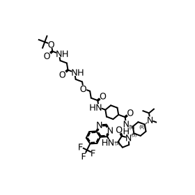 CC(C)N(C)[C@@H]1CC[C@H](N2CC[C@H](Nc3ncnc4ccc(C(F)(F)F)cc34)C2=O)[C@H](NC(=O)C2CCC(NC(=O)CCOCCNC(=O)CCNC(=O)OC(C)(C)C)CC2)C1